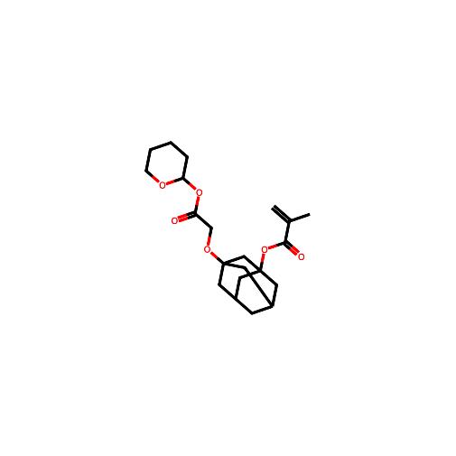 C=C(C)C(=O)OC12CC3CC(CC(OCC(=O)OC4CCCCO4)(C3)C1)C2